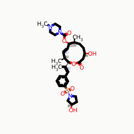 C/C(=C\c1cccc(S(=O)(=O)N2CC[C@@H](O)C2)c1)[C@H]1OC(=O)C[C@H](O)CC[C@H](C)[C@H](OC(=O)N2CCN(C)CC2)/C=C/[C@@H]1C